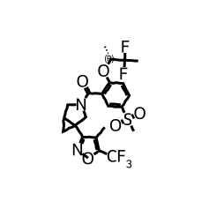 Cc1c(C23CC2CN(C(=O)c2cc(S(C)(=O)=O)ccc2O[C@H](C)C(C)(F)F)C3)noc1C(F)(F)F